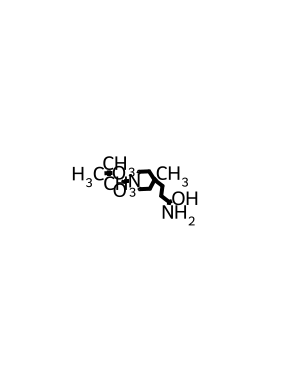 CC1(CCC(N)O)CCN(C(=O)OC(C)(C)C)CC1